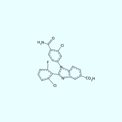 NC(=O)c1ccc(-n2c(-c3c(F)cccc3Cl)nc3cc(C(=O)O)ccc32)cc1Cl